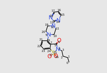 CCCCN1C(=O)c2c(N3CCN(c4ncccn4)CC3)cccc2S1(=O)=O